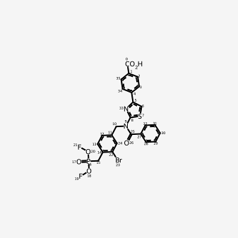 O=C(O)c1ccc(-c2csc(N(Cc3ccc(CP(=O)(OF)OF)c(Br)c3)C(=O)c3ccccc3)n2)cc1